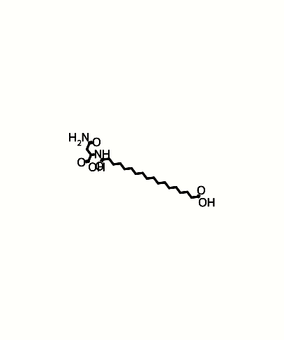 NC(=O)CC(NC(=O)CCCCCCCCCCCCCCCCC(=O)O)C(=O)O